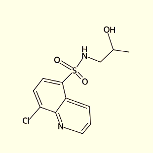 CC(O)CNS(=O)(=O)c1ccc(Cl)c2ncccc12